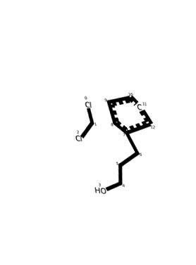 ClCCl.OCCCc1ccccc1